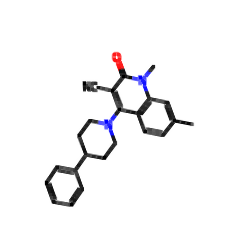 Cc1ccc2c(N3CCC(c4ccccc4)CC3)c(C#N)c(=O)n(C)c2c1